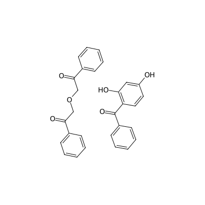 O=C(COCC(=O)c1ccccc1)c1ccccc1.O=C(c1ccccc1)c1ccc(O)cc1O